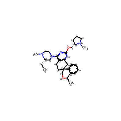 CC(=O)N1CCN(c2nc(OC[C@@H]3CCCN3C)nc3c2CCC2(COC(C)c4ccccc42)C3)C[C@@H]1CC#N